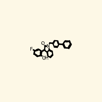 O=C1C(c2cc(F)ccc2O)c2ccccc2N1Cc1ccc(-c2ccccc2)cc1